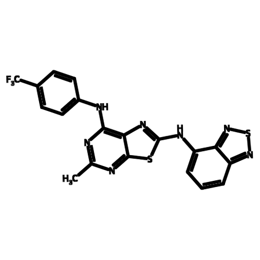 Cc1nc(Nc2ccc(C(F)(F)F)cc2)c2nc(Nc3cccc4nsnc34)sc2n1